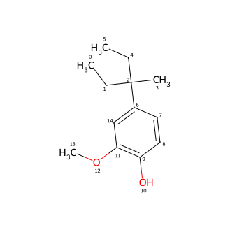 CCC(C)(CC)c1ccc(O)c(OC)c1